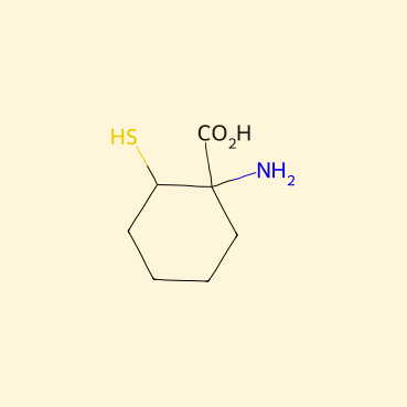 NC1(C(=O)O)CCCCC1S